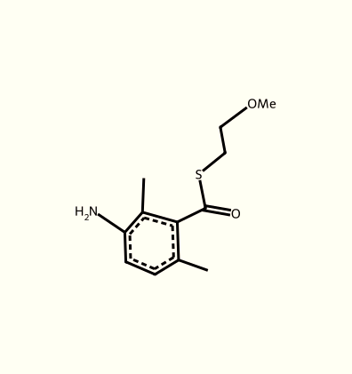 COCCSC(=O)c1c(C)ccc(N)c1C